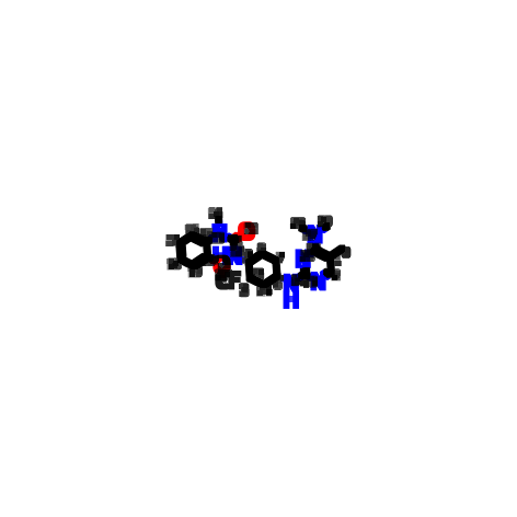 Cc1cnc(N[C@H]2CC[C@@H](NC(=O)N(C)c3ccccc3OC(F)(F)F)CC2)nc1N(C)C